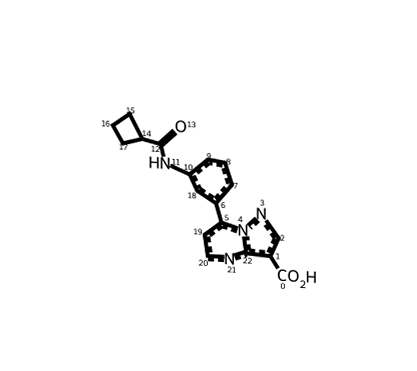 O=C(O)c1cnn2c(-c3cccc(NC(=O)C4CCC4)c3)ccnc12